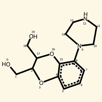 OCC1Oc2cccc(N3CCNCC3)c2OC1CO